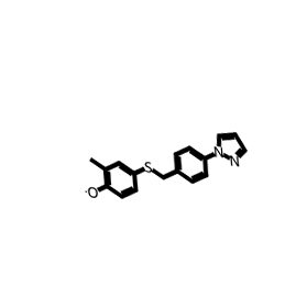 Cc1cc(SCc2ccc(-n3cccn3)cc2)ccc1[O]